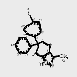 N#Cc1n[nH]c2c1C=CC(c1ccccc1)(c1ccc(F)cc1)C2